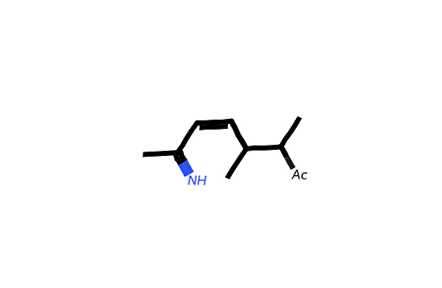 CC(=N)/C=C\C(C)C(C)C(C)=O